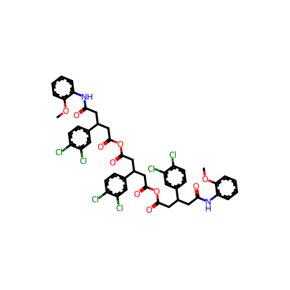 COc1ccccc1NC(=O)CC(CC(=O)OC(=O)CC(CC(=O)OC(=O)CC(CC(=O)Nc1ccccc1OC)c1ccc(Cl)c(Cl)c1)c1ccc(Cl)c(Cl)c1)c1ccc(Cl)c(Cl)c1